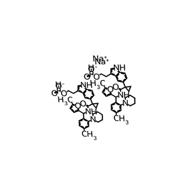 Cc1ccc(C(NC(=O)C2(c3ccc4[nH]cc(CCO[PH](=O)[O-])c4c3)CC2)c2ccc(C)o2)c(N2CCCCC2)c1.Cc1ccc(C(NC(=O)C2(c3ccc4[nH]cc(CCO[PH](=O)[O-])c4c3)CC2)c2ccc(C)o2)c(N2CCCCC2)c1.[Na+].[Na+]